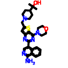 CC(C)(O)C1CCN(Cc2cc3nc(-c4cnc(N)c5ccccc45)nc(N4CCOCC4)c3s2)CC1